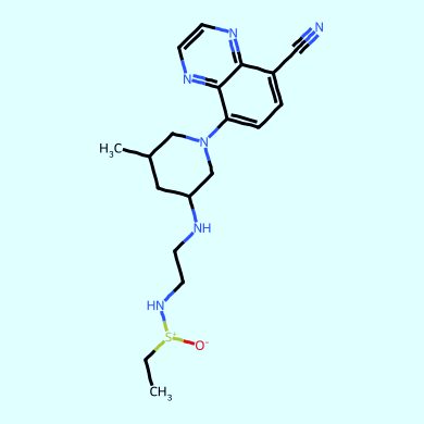 CC[S+]([O-])NCCNC1CC(C)CN(c2ccc(C#N)c3nccnc23)C1